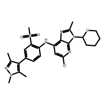 Cc1nn(C)c(C)c1-c1ccc(Nc2cc(Cl)nc3c2nc(C)n3C2CCCCO2)c(S(C)(=O)=O)c1